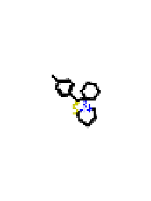 Cc1ccc(C(=S)C2(N3CCCCC3)CCCCC2)cc1